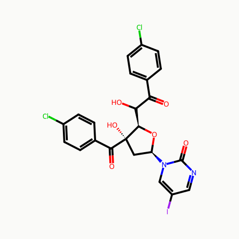 O=C(c1ccc(Cl)cc1)C(O)[C@H]1O[C@@H](n2cc(I)cnc2=O)C[C@@]1(O)C(=O)c1ccc(Cl)cc1